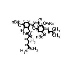 CCCCOc1cc2c(c(OCCCC)c1CC=C(C)C)C(=O)C[C@@H](c1ccc(OCCCC)c(OCCCC)c1C/C=C(\C)CCC=C(C)C)O2